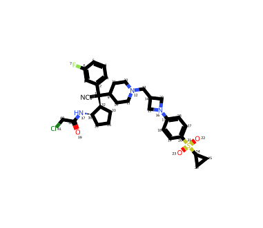 N#CC(c1cccc(F)c1)(C1CCN(CC2CN(c3ccc(S(=O)(=O)C4CC4)cc3)C2)CC1)[C@H]1CCC[C@@H]1NC(=O)CCl